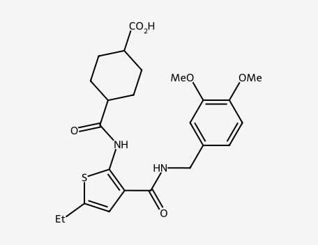 CCc1cc(C(=O)NCc2ccc(OC)c(OC)c2)c(NC(=O)C2CCC(C(=O)O)CC2)s1